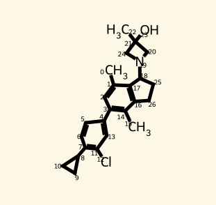 Cc1cc(-c2ccc(C3CC3)c(Cl)c2)c(C)c2c1C(N1CC(C)(O)C1)CC2